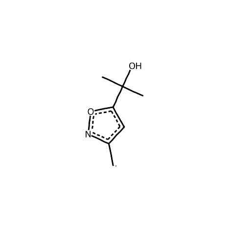 [CH2]c1cc(C(C)(C)O)on1